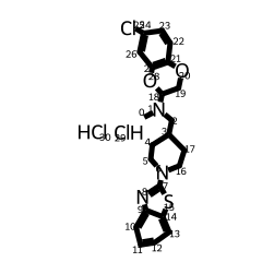 CN(CC1CCN(c2nc3ccccc3s2)CC1)C1COc2ccc(Cl)cc2O1.Cl.Cl